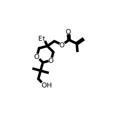 C=C(C)C(=O)OCC1(CC)COC(C(C)(C)CO)OC1